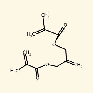 C=C(COC(=O)C(=C)C)COC(=O)C(=C)C